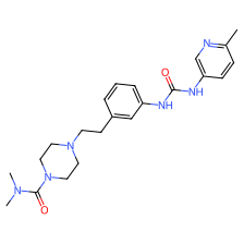 Cc1ccc(NC(=O)Nc2cccc(CCN3CCN(C(=O)N(C)C)CC3)c2)cn1